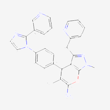 Cn1nc(Cc2ccccn2)c2c1OC(N)=C(C#N)C2c1ccc(-n2ccnc2-c2cccnc2)cc1